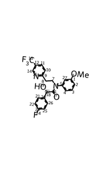 COc1cccc(N(CCc2ccc(C(F)(F)F)cn2)C(=O)[C@@H](O)c2ccc(F)cc2)c1